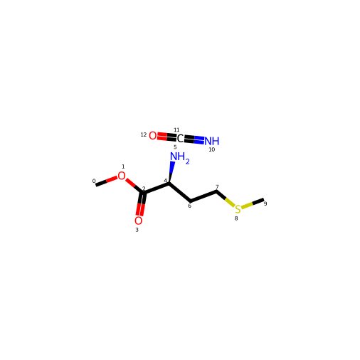 COC(=O)[C@@H](N)CCSC.N=C=O